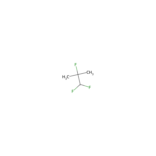 CC(C)(F)[C](F)F